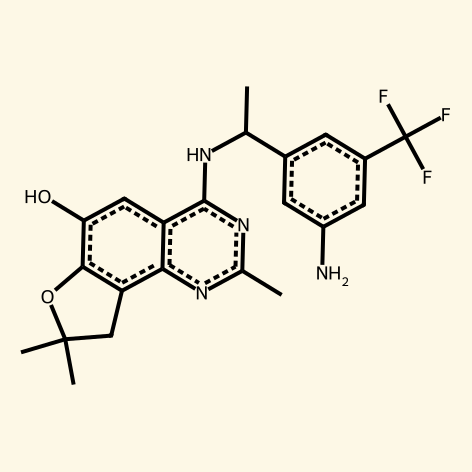 Cc1nc(NC(C)c2cc(N)cc(C(F)(F)F)c2)c2cc(O)c3c(c2n1)CC(C)(C)O3